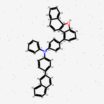 c1ccc(N(c2ccc(-c3ccc4ccccc4c3)cc2)c2ccc(-c3cccc4oc5c6ccccc6ccc5c34)cc2)cc1